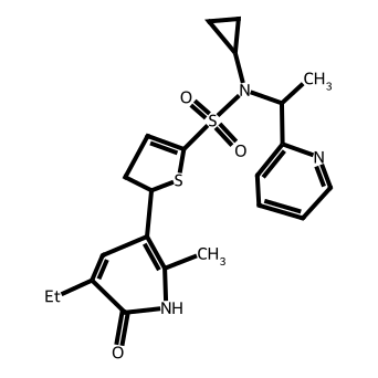 CCc1cc(C2CC=C(S(=O)(=O)N(C3CC3)C(C)c3ccccn3)S2)c(C)[nH]c1=O